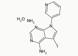 N.Nc1ncnc2c1c(I)cn2-c1cccnc1.O